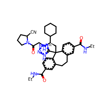 CCNC(=O)c1ccc2c(c1)CCc1cc(C(=O)NCC)ccc1C2(C[C@@H](NCC(=O)N1CCCC1C#N)C1CCCCC1)c1nnn[nH]1